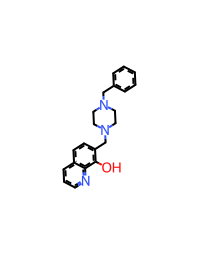 Oc1c(CN2CCN(Cc3ccccc3)CC2)ccc2cccnc12